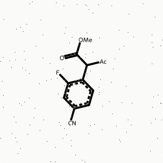 COC(=O)C(C(C)=O)c1ccc(C#N)cc1F